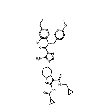 COc1ccc(CN(C(=O)c2ncn([C@H]3CCc4sc(NC(=O)C5CC5)c(C(=O)NCC5CC5)c4C3)c2N)c2ccc(OC)cc2Br)cc1